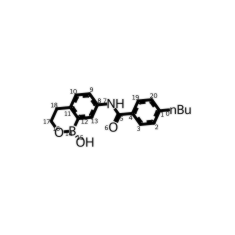 CCCCc1ccc(C(=O)Nc2ccc3c(c2)B(O)OCC3)cc1